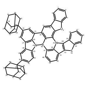 c1ccc2c(c1)oc1c3c4c(cc12)-c1cc(C25CC6CC(CC(C6)C2)C5)cc2c5cc(C67CC8CC(CC(C8)C6)C7)ccc5n(c12)B4c1cccc2c4sc5ccccc5c4n-3c12